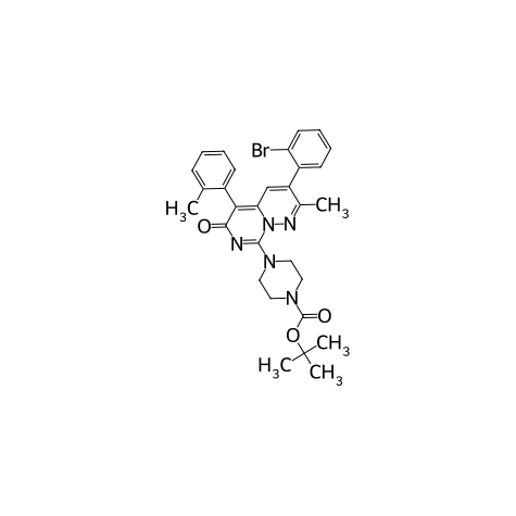 Cc1ccccc1-c1c(=O)nc(N2CCN(C(=O)OC(C)(C)C)CC2)n2nc(C)c(-c3ccccc3Br)cc12